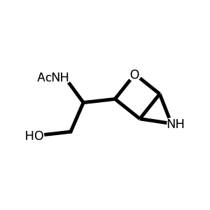 CC(=O)NC(CO)C1OC2NC21